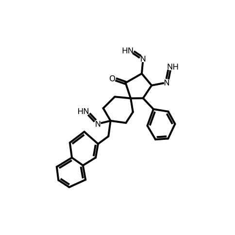 N=NC1C(=O)C2(CCC(Cc3ccc4ccccc4c3)(N=N)CC2)C(c2ccccc2)C1N=N